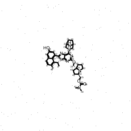 CCc1c(F)ccc2cc(O)cc(-c3nc4c(N5CC6CCC(C5)N6)nc(OC[C@]56CCCN5[C@@H](COC(=O)N(C)C)CC6)nc4s3)c12